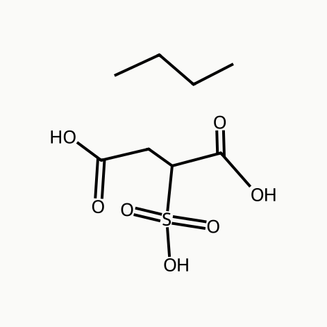 CCCC.O=C(O)CC(C(=O)O)S(=O)(=O)O